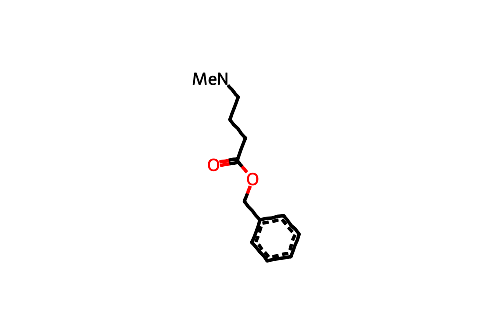 CNCCCC(=O)OCc1ccccc1